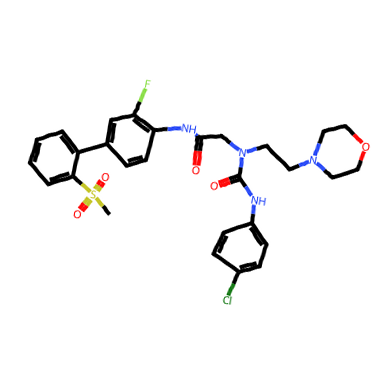 CS(=O)(=O)c1ccccc1-c1ccc(NC(=O)CN(CCN2CCOCC2)C(=O)Nc2ccc(Cl)cc2)c(F)c1